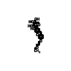 CCON=CCOc1ccc(Cc2cc([C@]34OC[C@](CO)(O3)[C@@H](O)[C@H](O)[C@H]4O)ccc2Cl)cc1